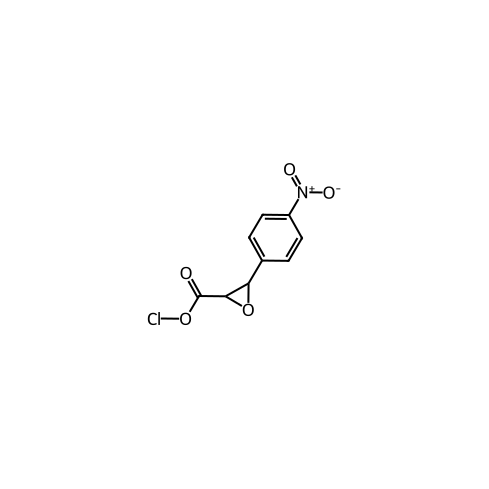 O=C(OCl)C1OC1c1ccc([N+](=O)[O-])cc1